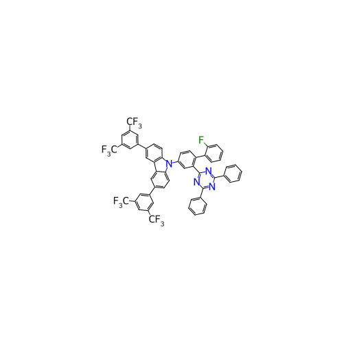 Fc1ccccc1-c1ccc(-n2c3ccc(-c4cc(C(F)(F)F)cc(C(F)(F)F)c4)cc3c3cc(-c4cc(C(F)(F)F)cc(C(F)(F)F)c4)ccc32)cc1-c1nc(-c2ccccc2)nc(-c2ccccc2)n1